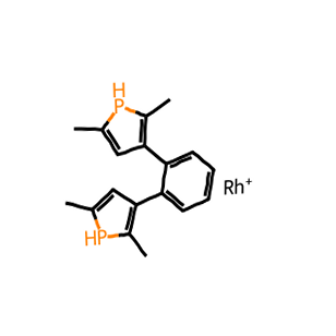 Cc1cc(-c2ccccc2-c2cc(C)[pH]c2C)c(C)[pH]1.[Rh+]